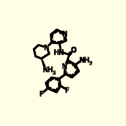 Nc1ccc(-c2ccc(F)cc2F)nc1C(=O)Nc1cnccc1N1CCC[C@H](N)C1